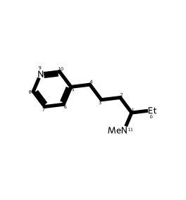 CCC(CCCc1cccnc1)NC